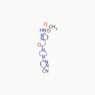 CS(=O)(=O)Nc1ccc(CC(=O)N2CCN(c3ccc(C#N)nn3)CC2)nn1